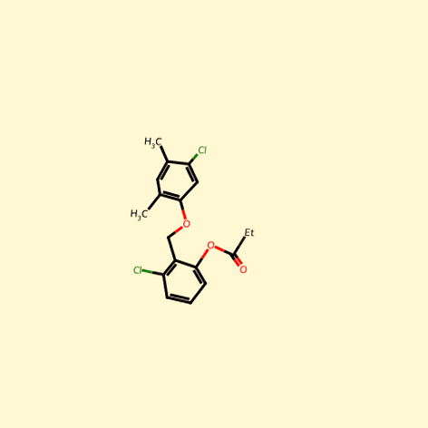 CCC(=O)Oc1cccc(Cl)c1COc1cc(Cl)c(C)cc1C